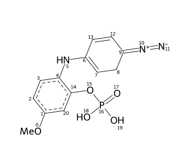 COc1ccc(NC2=CCC(=[N+]=[N-])C=C2)c(OP(=O)(O)O)c1